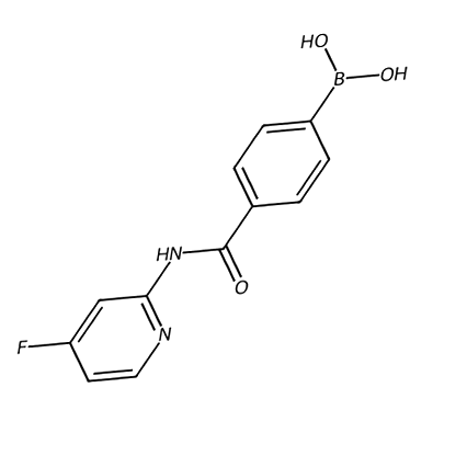 O=C(Nc1cc(F)ccn1)c1ccc(B(O)O)cc1